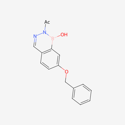 CC(=O)N1N=Cc2ccc(OCc3ccccc3)cc2B1O